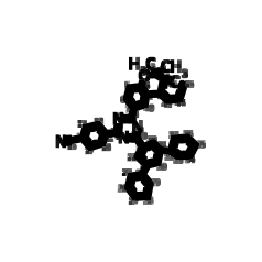 CC1(C)Oc2ccc(-c3nc(-c4ccc(C#N)cc4)nc(-c4cc(-c5ccccc5)cc(-c5ccccc5)c4)n3)cc2-c2ccccc21